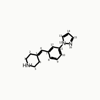 C(=C1CCNCC1)c1cccc(-n2cccn2)c1